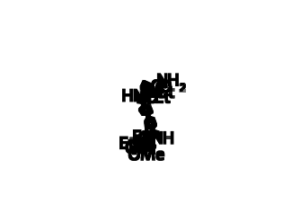 CCC(CC)[C@H](NC(=O)OC)C(=O)N1CCCC1c1nc(-c2ccc(-c3ccc(-c4c[nH]c([C@@H]5CCCN5C(=O)[C@@H](OC(N)=O)C(CC)CC)n4)cc3)cc2)c[nH]1